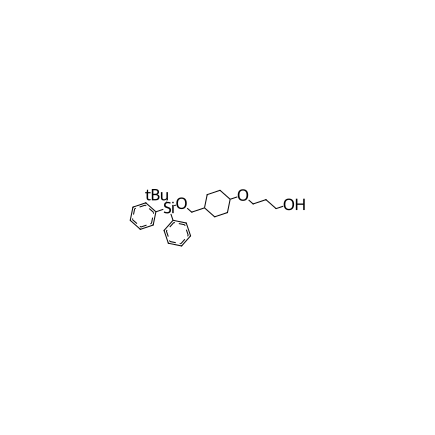 CC(C)(C)[Si](OCC1CCC(OCCCO)CC1)(c1ccccc1)c1ccccc1